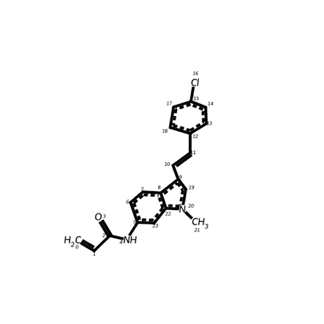 C=CC(=O)Nc1ccc2c(C=Cc3ccc(Cl)cc3)cn(C)c2c1